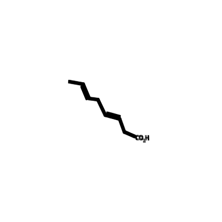 CC=CCC=CCC(=O)O